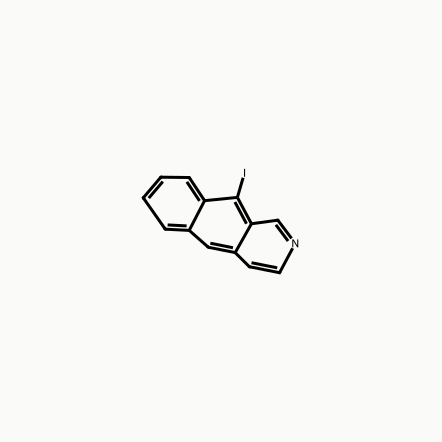 Ic1c2ccccc2cc2ccncc12